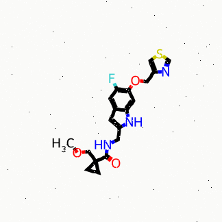 COCC1(C(=O)NCc2cc3cc(F)c(OCc4cscn4)cc3[nH]2)CC1